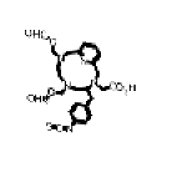 O=COCN1CCN(COC=O)CC(Cc2ccc(N=C=S)cc2)N(CC(=O)O)Cc2cccc(n2)C1